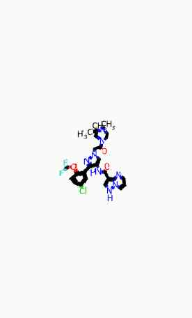 CN1CCN(C(=O)Cn2cc(NC(=O)C3=C4N=CC=CN4NC3)c(-c3cc(Cl)ccc3OC(F)F)n2)CC1(C)C